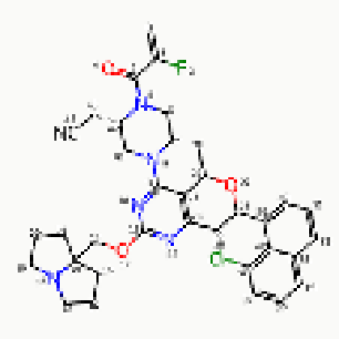 C=C(F)C(=O)N1CCN(c2nc(OCC34CCCN3CCC4)nc3c2C(C)OC(c2cccc4cccc(Cl)c24)C3)C[C@@H]1CC#N